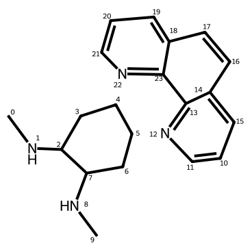 CNC1CCCCC1NC.c1cnc2c(c1)ccc1cccnc12